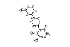 NC(=O)C([C@H](N)C(=O)O)N1CCN(c2cccc(Cl)c2)CC1